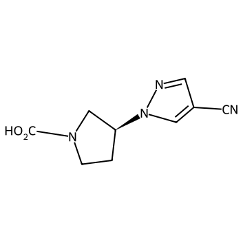 N#Cc1cnn([C@H]2CCN(C(=O)O)C2)c1